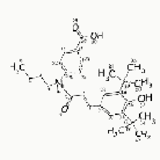 CCCCN(C(=O)C=Cc1cc(C(C)(C)C)c(O)c(C(C)(C)C)c1)c1ccc(C(=O)O)cc1